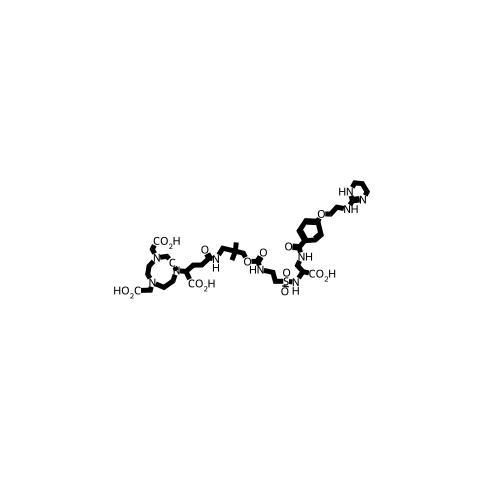 CC(C)(CNC(=O)CCC(C(=O)O)N1CCN(CC(=O)O)CCN(CC(=O)O)CC1)COC(=O)NCCS(=O)(=O)NC(CNC(=O)c1ccc(OCCNC2=NCCCN2)cc1)C(=O)O